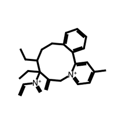 C=C[N+](=C)C1(CC)C(=C)C[n+]2ccc(C)cc2-c2ccccc2CCC1CC